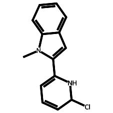 Cn1c(C2=CC=CC(Cl)N2)cc2ccccc21